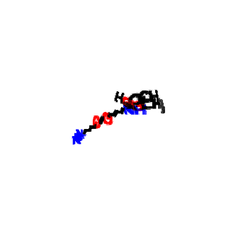 CC(C)(C)OC(=O)NCCCCCOCCOCCCCCN=[N+]=[N-]